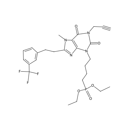 C#CCn1c(=O)c2c(nc(CCc3cccc(C(F)(F)F)c3)n2C)n(CCCCP(=O)(OCC)OCC)c1=O